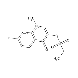 CCS(=O)(=O)Oc1cn(C)c2cc(F)ccc2c1=O